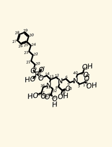 O=C(O)CN(CCN(CC(=O)O)CC(COP(=O)(O)OCCCCCc1ccccc1)N(CC(=O)O)CC(=O)O)CC(=O)O